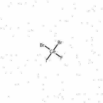 [F][Ge]([Br])([Br])[I]